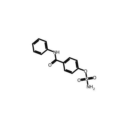 NS(=O)(=O)Oc1ccc(C(=O)Nc2ccccc2)cc1